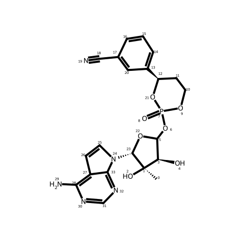 C[C@@]1(O)[C@H](O)C(OP2(=O)OCC[C@H](c3cccc(C#N)c3)O2)O[C@H]1n1ccc2c(N)ncnc21